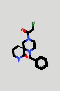 O=C(CCl)N1CCN(Cc2ccccc2)[C@]2(CCCNC2=O)C1